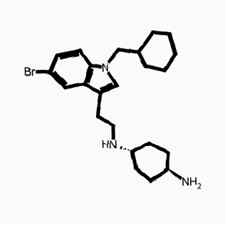 N[C@H]1CC[C@H](NCCc2cn(CC3CCCCC3)c3ccc(Br)cc23)CC1